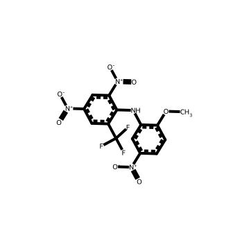 COc1ccc([N+](=O)[O-])cc1Nc1c([N+](=O)[O-])cc([N+](=O)[O-])cc1C(F)(F)F